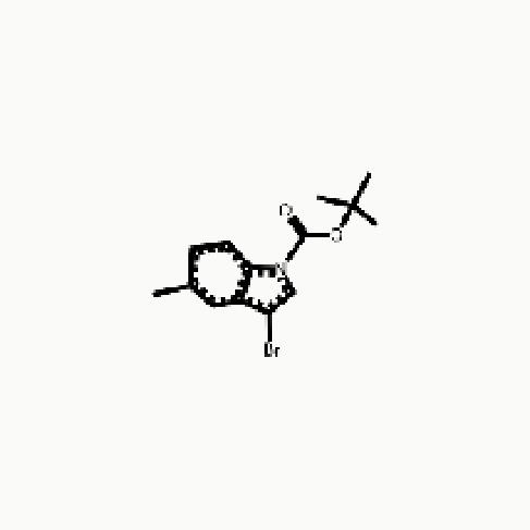 Cc1ccc2c(c1)c(Br)cn2C(=O)OC(C)(C)C